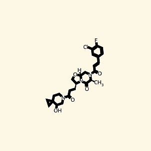 C[C@H]1C(=O)N2[C@@H](CCC(=O)N3CCC4(CC4)C(O)C3)CO[C@@H]2CN1C(=O)C=Cc1ccc(F)c(Cl)c1